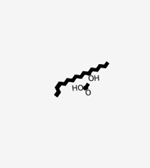 C=C/C=C\CCCCCCC(O)CCCCC.CC(=O)O